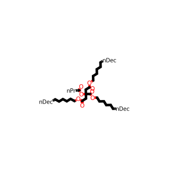 CCCCCCCCCCCCCCCCOC(=O)CC(CC(=O)OCCCCCCCCCCCCCCCC)(OC(=O)CCC)C(=O)OCCCCCCCCCCCCCCCC